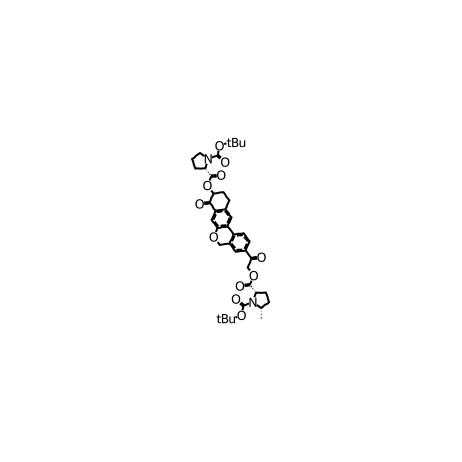 C[C@H]1CC[C@@H](C(=O)OCC(=O)c2ccc3c(c2)COc2cc4c(cc2-3)CCC(OC(=O)[C@@H]2CCCN2C(=O)OC(C)(C)C)C4=O)N1C(=O)OC(C)(C)C